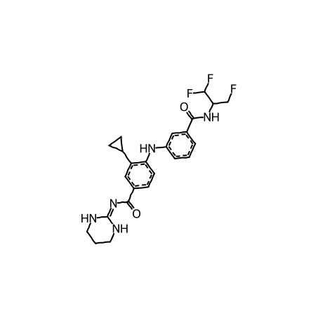 O=C(N=C1NCCCN1)c1ccc(Nc2cccc(C(=O)NC(CF)C(F)F)c2)c(C2CC2)c1